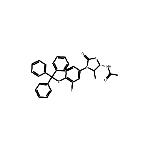 CC(=O)N[C@H]1OC(=O)N(c2ccc(SC(c3ccccc3)(c3ccccc3)c3ccccc3)c(F)c2)C1C